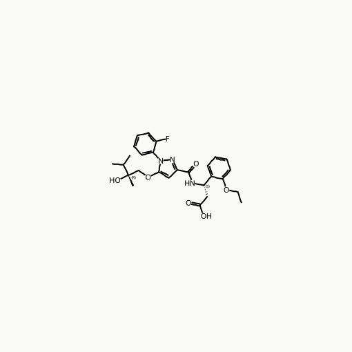 CCOc1ccccc1[C@H](CC(=O)O)NC(=O)c1cc(OC[C@](C)(O)C(C)C)n(-c2ccccc2F)n1